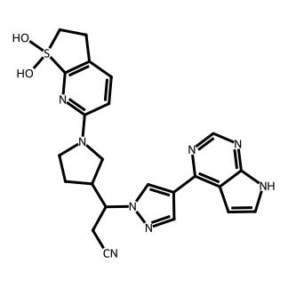 N#CCC(C1CCN(c2ccc3c(n2)S(O)(O)CC3)C1)n1cc(-c2ncnc3[nH]ccc23)cn1